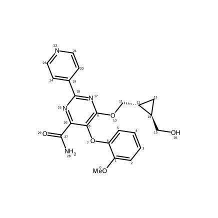 COc1ccccc1Oc1c(OC[C@@H]2C[C@H]2CO)nc(-c2ccncc2)nc1C(N)=O